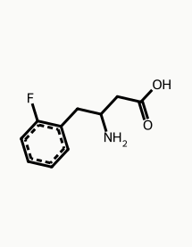 NC(CC(=O)O)Cc1ccccc1F